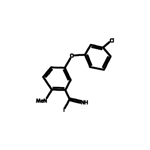 CNc1ccc(Oc2cccc(Cl)c2)cc1C(=N)I